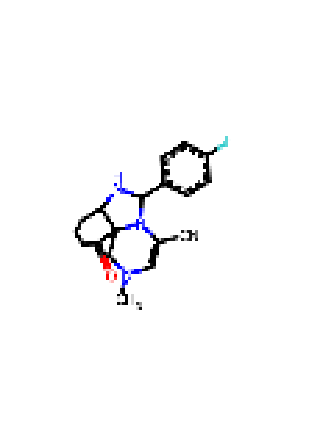 CN1C=C(C#N)N2C(c3ccc(F)cc3)NC3CCCC(=O)C32C1